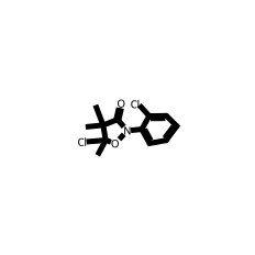 CC1(Cl)ON(c2ccccc2Cl)C(=O)C1(C)C